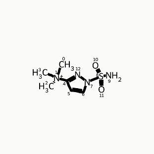 C[N+](C)(C)c1ccn(S(N)(=O)=O)n1